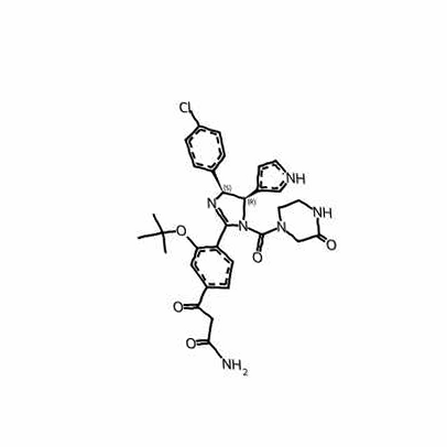 CC(C)(C)Oc1cc(C(=O)CC(N)=O)ccc1C1=N[C@@H](c2ccc(Cl)cc2)[C@@H](c2cc[nH]c2)N1C(=O)N1CCNC(=O)C1